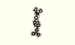 c1ccc(-c2nc(-c3ccc(-c4ccc5ccc6c(-c7ccc(N(c8ccccc8)c8ccccc8)cc7)ccc7ccc4c5c76)cc3)oc2-c2ccccc2)cc1